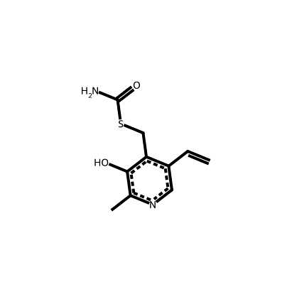 C=Cc1cnc(C)c(O)c1CSC(N)=O